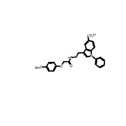 COc1ccc(OCC(=O)NCCc2cn(-c3ccccc3)c3ccc(C(=O)O)cc23)cc1